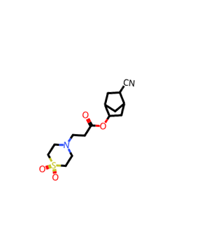 N#CC1CC2CC1CC2OC(=O)CCN1CCS(=O)(=O)CC1